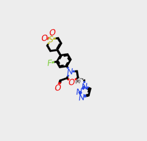 O=CC1O[C@@H](Cn2ccnn2)CN1c1ccc(C2=CCS(=O)(=O)CC2)c(F)c1